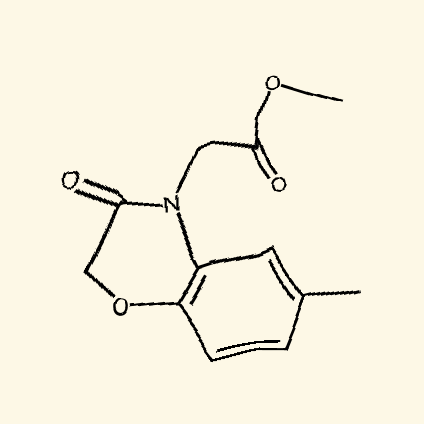 COC(=O)CN1C(=O)COc2ccc(C)cc21